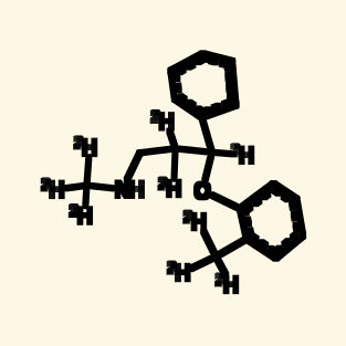 [2H]C([2H])([2H])NCC([2H])([2H])C([2H])(Oc1ccccc1C([2H])([2H])[2H])c1ccccc1